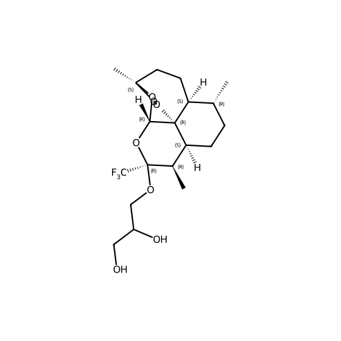 C[C@@H]1CC[C@H]2[C@@H](C)[C@](OCC(O)CO)(C(F)(F)F)O[C@@H]3O[C@]4(C)CC[C@@H]1[C@]32OO4